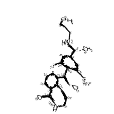 C[C@@H](NCCO)c1cc(F)c(C(=O)c2cccc3c(=O)[nH]ccc23)c(F)c1.Cl